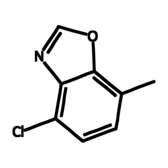 Cc1ccc(Cl)c2ncoc12